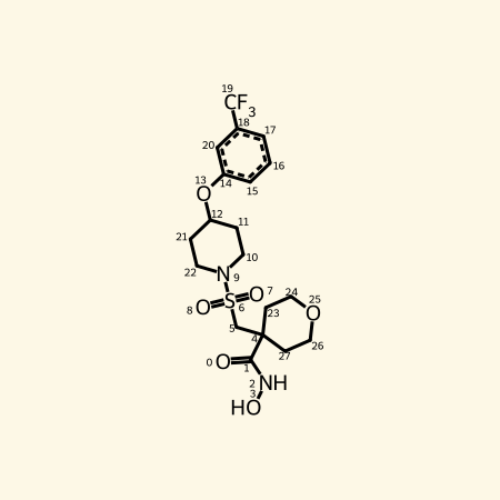 O=C(NO)C1(CS(=O)(=O)N2CCC(Oc3cccc(C(F)(F)F)c3)CC2)CCOCC1